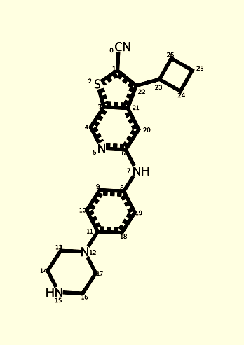 N#Cc1sc2cnc(Nc3ccc(N4CCNCC4)cc3)cc2c1C1CCC1